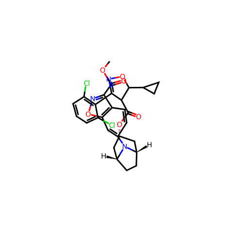 COC(=O)c1noc2cc(N3[C@@H]4CC[C@H]3C[C@@H](OC(=O)C3C(c5c(Cl)cccc5Cl)=NOC3C3CC3)C4)ccc12